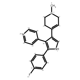 CN1CC=C(c2c[nH]c(-c3ccc(F)cc3)c2-c2ccncc2)CC1